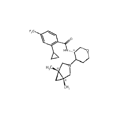 C[C@@]12CN(C3CCOC[C@H]3NC(=O)c3ccc(C(F)(F)F)cc3C3CC3)C[C@]1(C)C2